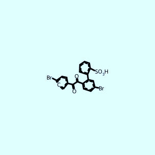 O=C(C(=O)c1ccc(Br)cc1-c1ccccc1S(=O)(=O)O)c1ccc(Br)cc1